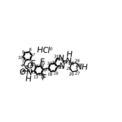 Cl.O=S(=O)(Cc1ccccc1)Nc1cc(F)c(-c2ccc3nc(N[C@H]4CCCNC4)ncc3c2)c(F)c1F